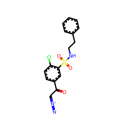 [N-]=[N+]=CC(=O)c1ccc(Cl)c(S(=O)(=O)NCCc2ccccc2)c1